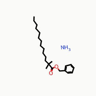 CCCCCCCCCCCCC(C)(C)C(=O)OCc1ccccc1.N